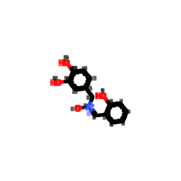 [O-]/[N+](=C/c1ccccc1O)Cc1ccc(O)c(O)c1